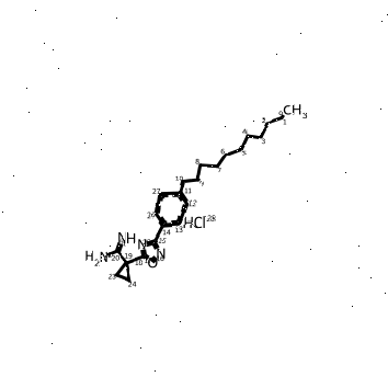 CCCCCCCCCCCc1ccc(-c2noc(C3(C(=N)N)CC3)n2)cc1.Cl